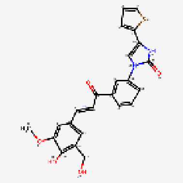 COc1cc(/C=C/C(=O)c2cccc(-n3cc(-c4cccs4)[nH]c3=O)c2)cc(CO)c1O